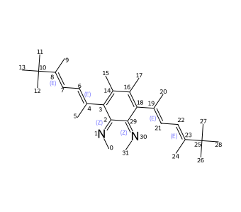 C/N=C1/C(/C(C)=C/C=C(\C)C(C)(C)C)=C(C)C(C)=C(/C(C)=C/C=C(\C)C(C)(C)C)/C1=N/C